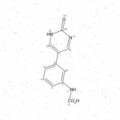 O=C(O)Nc1cccc(-c2cnc(=O)[nH]c2)c1